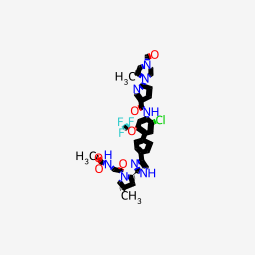 COC(=O)NCC(=O)N1C[C@@H](C)C[C@H]1c1nc(-c2ccc(-c3cc(Cl)c(NC(=O)c4ccc(N5CCN(C=O)C[C@H]5C)nc4)cc3OC(F)(F)F)cc2)c[nH]1